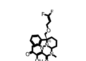 CN1C(=O)c2c(O)c(=O)ccn2N2C1CCC[C@@]2(COCC=C(F)F)c1ccccc1